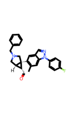 Cc1cc2c(cnn2-c2ccc(F)cc2)cc1[C@@]12CN(Cc3ccccc3)C[C@@H]1[C@H]2C=O